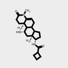 CN1C(=O)CC[C@@]2(C)C1=CCC1C2[C@@H](O)C[C@@]2(C)C1CC[C@@H]2NC(=O)C1CCC1